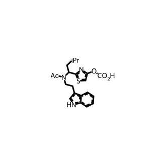 CC(=O)N(CCc1c[nH]c2ccccc12)C(CC(C)C)c1nc(OC(=O)O)cs1